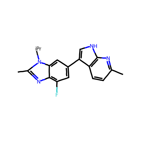 Cc1ccc2c(-c3cc(F)c4nc(C)n(C(C)C)c4c3)c[nH]c2n1